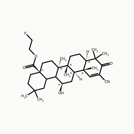 CC1(C)CC[C@]2(C(=O)OCCF)CC[C@]3(C)C(C2C1)[C@H](O)C[C@@H]1[C@@]2(C)C=C(C#N)C(=O)C(C)(C)[C@@H]2CC[C@]13C